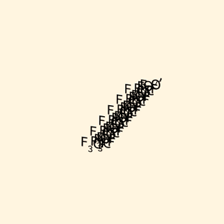 C=CCOCC(F)(OC(F)(F)C(F)(OC(F)(F)C(F)(OC(F)(F)C(F)(OC(F)(F)C(F)(OC(F)(F)C(F)(OC(F)(F)C(F)(OC(F)(F)C(F)(OC(F)(F)C(F)(OC(F)(F)C(F)(OC(F)(F)C(F)(OC(F)(F)C(F)(F)C(F)(F)F)C(F)(F)F)C(F)(F)F)C(F)(F)F)C(F)(F)F)C(F)(F)F)C(F)(F)F)C(F)(F)F)C(F)(F)F)C(F)(F)F)C(F)(F)F)C(F)(F)F